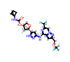 O=C(NC12CC(C1)C2)O[C@H]1CO[C@@H](c2cc(Nc3nc(C(F)F)cn4nc(COC(F)(F)F)cc34)n[nH]2)[C@@H]1F